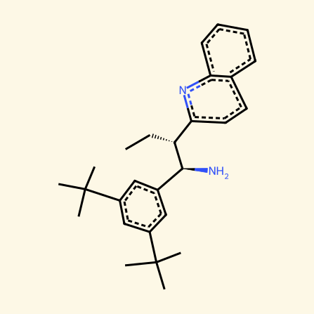 CC[C@H](c1ccc2ccccc2n1)[C@@H](N)c1cc(C(C)(C)C)cc(C(C)(C)C)c1